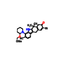 CCC1=CC2=C(CC1=O)C(C)(C)c1[nH]c3c(N4CCCCC4OCOC)c(C#N)ccc3c1C2